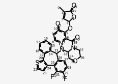 CC1=CC(Oc2c3n(ccc2=O)N(C2c4ccccc4-c4sccc4-c4c2ccc(F)c4F)C2COCCN2C3=O)OC1=O